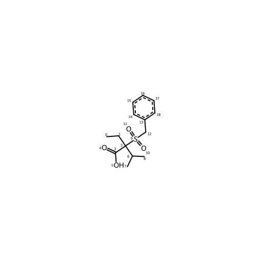 CCC(C(=O)O)(C(C)C)S(=O)(=O)Cc1ccccc1